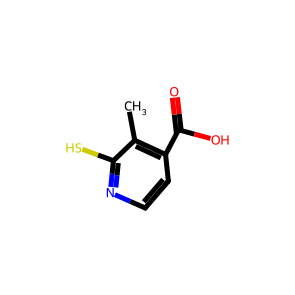 Cc1c(C(=O)O)ccnc1S